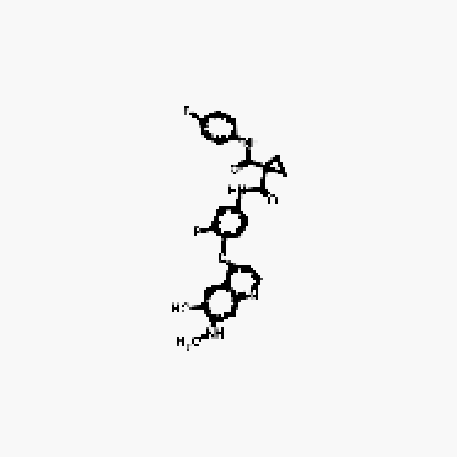 CNc1cc2nccc(Oc3ccc(NC(=O)C4(C(=O)Nc5ccc(F)cc5)CC4)cc3F)c2cc1O